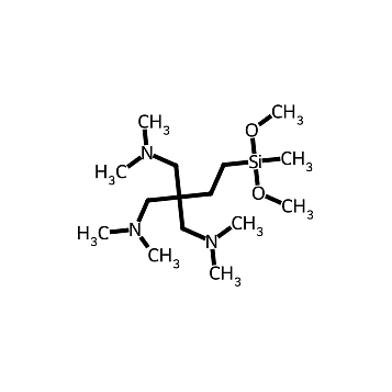 CO[Si](C)(CCC(CN(C)C)(CN(C)C)CN(C)C)OC